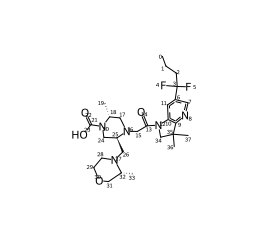 CCCC(F)(F)c1cnc2c(c1)N(C(=O)CN1C[C@@H](C)N(C(=O)O)C[C@@H]1CN1CCOC[C@H]1C)CC2(C)C